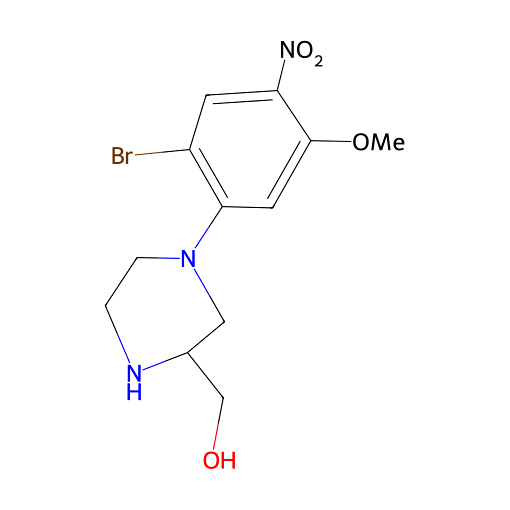 COc1cc(N2CCNC(CO)C2)c(Br)cc1[N+](=O)[O-]